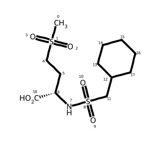 CS(=O)(=O)CC[C@H](NS(=O)(=O)CC1CCCCC1)C(=O)O